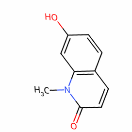 Cn1c(=O)ccc2ccc(O)cc21